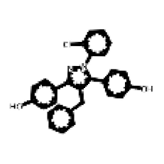 Oc1ccc(-c2nn(-c3ccccc3Cl)c(-c3ccc(O)cc3)c2Cc2ccccc2)cc1